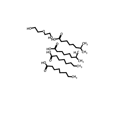 CC(C)CCCCCC(=O)O.CC(C)CCCCCC(=O)O.CCCCCCCC(=O)O.CCCCCCCC(=O)O.OCCOCCO